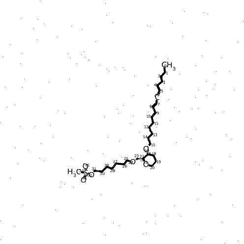 CCCCCCCCCCCCCCCCO[C@@H]1CCCO[C@H]1COCCCCCCCOS(C)(=O)=O